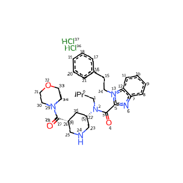 CC(C)CN(C(=O)c1nc2ccccc2n1CCc1ccccc1)[C@@H]1CNC[C@H](C(=O)N2CCOCC2)C1.Cl.Cl